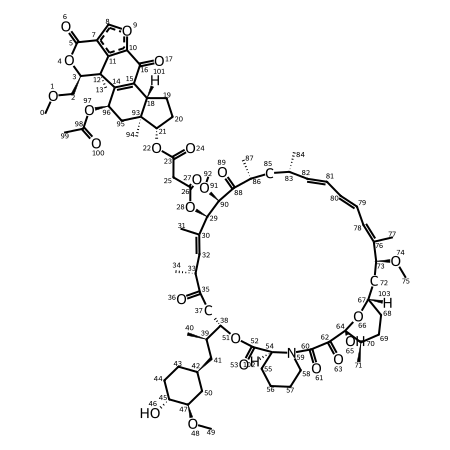 COC[C@H]1OC(=O)c2coc3c2[C@@]1(C)C1=C(C3=O)[C@@H]2CC[C@H](OC(=O)CC(=O)O[C@@H]3/C(C)=C/[C@@H](C)C(=O)C[C@@H]([C@H](C)C[C@@H]4CC[C@@H](O)[C@H](OC)C4)OC(=O)[C@@H]4CCCCN4C(=O)C(=O)[C@]4(O)O[C@@H](CC[C@H]4C)C[C@H](OC)/C(C)=C/C=C/C=C/[C@@H](C)C[C@@H](C)C(=O)[C@@H]3OC)[C@@]2(C)C[C@H]1OC(C)=O